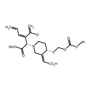 C=C/C=C(\C(=C)Cl)[C@@H](C(=O)OC)N1CC[C@H](SCOC(=O)OC(C)C)/C(=C\C(=O)O)C1